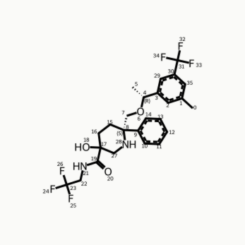 Cc1cc([C@@H](C)OC[C@@]2(c3ccccc3)CCC(O)(C(=O)NCC(F)(F)F)CN2)cc(C(F)(F)F)c1